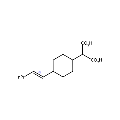 CCC/C=C/C1CCC(C(C(=O)O)C(=O)O)CC1